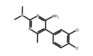 Cc1nc(N(C)C)nc(N)c1-c1ccc(Cl)c(Cl)c1